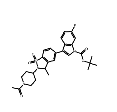 CC(=O)N1CCC(N2C(C)c3cc(-c4cn(C(=O)OC(C)(C)C)c5cc(F)ccc45)ccc3S2(=O)=O)CC1